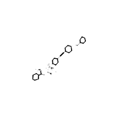 COC(=O)[C@@H](Cc1c[nH]c2ccccc12)NS(=O)(=O)c1ccc(C#Cc2ccc(OCc3ccccc3)cc2)cc1